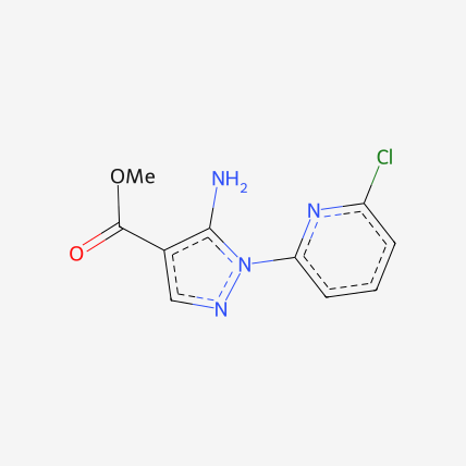 COC(=O)c1cnn(-c2cccc(Cl)n2)c1N